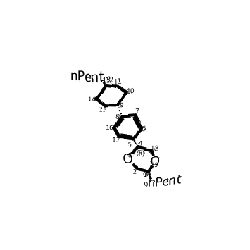 CCCCC[C@H]1CO[C@H](c2ccc([C@H]3CC[C@H](CCCCC)CC3)cc2)CO1